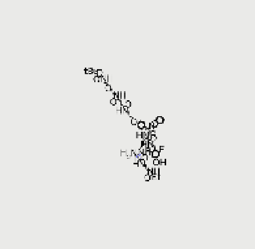 CCC(=O)NCCNC(=O)/N=C(/N)NCCC[C@@H](NC(=O)[C@H](c1ccc(OCCCNC(=O)CCC(=O)NCCOCCNC(=O)OC(C)(C)C)cc1)N1Cc2ccccc2C1)C(=O)NCc1c(F)cc(O)cc1F